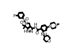 CN1CCN(c2ccc(C(=O)Nc3n[nH]c4c3CN(S(=O)(=O)c3cccc(F)c3)C4(C)C)c(NC3CCOCC3)c2)CC1